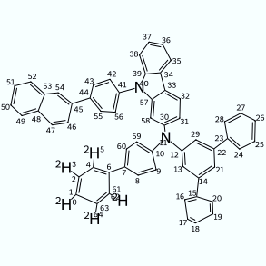 [2H]c1c([2H])c([2H])c(-c2ccc(N(c3cc(-c4ccccc4)cc(-c4ccccc4)c3)c3ccc4c5ccccc5n(-c5ccc(-c6ccc7ccccc7c6)cc5)c4c3)cc2)c([2H])c1[2H]